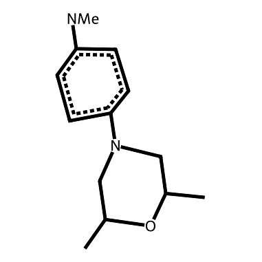 CNc1ccc(N2CC(C)OC(C)C2)cc1